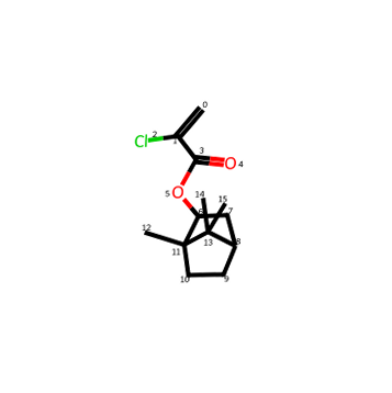 C=C(Cl)C(=O)OC1CC2CCC1(C)C2(C)C